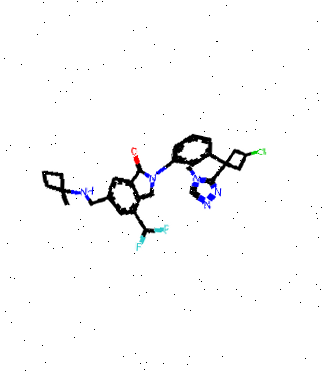 Cn1cnnc1C1(c2cccc(N3Cc4c(cc(CNC5(C)CCC5)cc4C(F)F)C3=O)c2)CC(Cl)C1